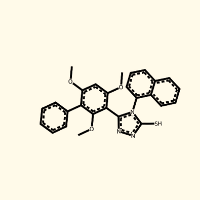 COc1cc(OC)c(-c2nnc(S)n2-c2cccc3ccccc23)c(OC)c1-c1ccccc1